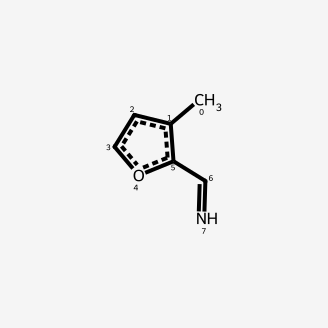 Cc1ccoc1C=N